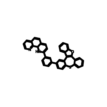 C1=Cc2cccnc2C2NC(c3cccc(-c4ccc5c(c4)-c4c(oc6ccccc46)-c4ccccc4S5)c3)=CC=C12